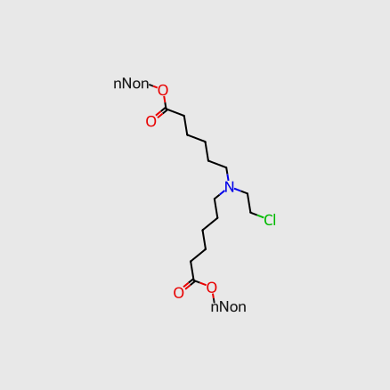 CCCCCCCCCOC(=O)CCCCCN(CCCl)CCCCCC(=O)OCCCCCCCCC